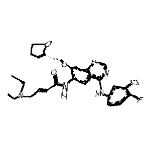 CCN(CC)CC=CC(=O)Nc1cc2c(Nc3ccc(F)c(Cl)c3)ncnc2cc1OC[C@@H]1CCCO1